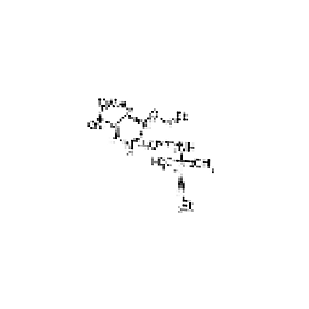 CCC#CC(C)(C)NC(=O)C(CC)Oc1cncc(C(=O)OC)c1